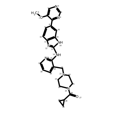 COc1cncnc1-c1ccc2nc(Nc3ncccc3CN3CCN(C(=O)C4CC4)CC3)[nH]c2c1